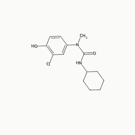 CN(C(=O)NC1CCCCC1)c1ccc(O)c(Cl)c1